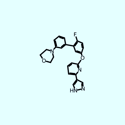 Fc1ccc(Oc2cccc(-c3cn[nH]c3)n2)cc1-c1cccc(N2CCOCC2)c1